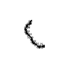 CCOC(=O)c1nc(NC(=O)c2cc(NC(=O)c3cc(NC(=O)c4nc(NC(=O)CCCNC(=O)c5cc(NC(=O)c6nc(NC(=O)CCNC(=O)c7cc(NC(=O)c8nccn8C)cn7C)cn6C)cn5C)cn4C)cn3C)cn2C)cn1C